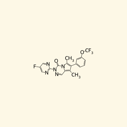 Cc1c(-c2cccc(OC(F)(F)F)c2)c(C)n2c(=O)n(-c3ncc(F)cn3)ncc12